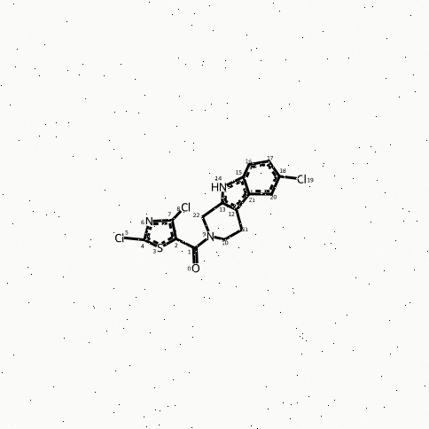 O=C(c1sc(Cl)nc1Cl)N1CCc2c([nH]c3ccc(Cl)cc23)C1